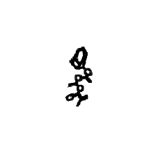 C=C(C)C(=O)OC(C)OC(C)OC1C2CC3CC(C2)CC1C3